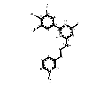 Cc1cc(NCCc2ccc[n+]([O-])c2)nc(-c2cc(F)c(F)c(F)c2)n1